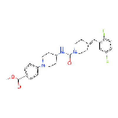 COC(=O)c1ccc(N2CCC(NC(=O)N3CCC(=Cc4cc(F)ccc4F)CC3)CC2)cc1